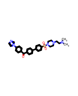 CN(C)CCN1CCN(S(=O)(=O)c2ccc(-c3ccc(C(=O)c4ccc(-n5ccnc5)cc4)cc3)cc2)CC1